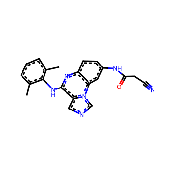 Cc1cccc(C)c1Nc1nc2ccc(NC(=O)CC#N)cc2n2cncc12